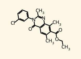 CCOC(=O)c1c(C)cc2c(=O)n(-c3cccc(Cl)c3)c(C)nc2c1C